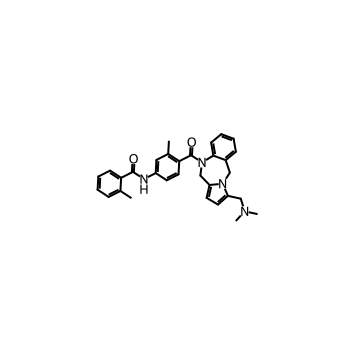 Cc1ccccc1C(=O)Nc1ccc(C(=O)N2Cc3ccc(CN(C)C)n3Cc3ccccc32)c(C)c1